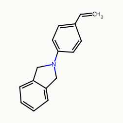 C=Cc1ccc(N2Cc3ccccc3C2)cc1